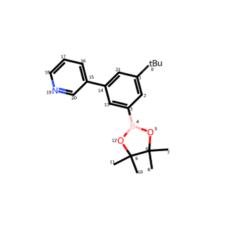 CC(C)(C)c1cc(B2OC(C)(C)C(C)(C)O2)cc(-c2cccnc2)c1